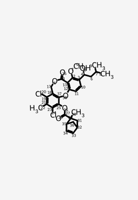 COc1c([C@@H](O)CC(C)C)ccc2c1C(=O)OCc1c(Cl)c(C)c(Cl)c(OC(=O)C3(C)CC4C=CC3C4)c1O2